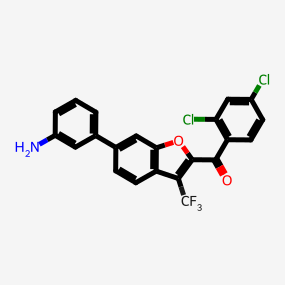 Nc1cccc(-c2ccc3c(C(F)(F)F)c(C(=O)c4ccc(Cl)cc4Cl)oc3c2)c1